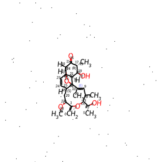 C=C1O[C@H]([C@@H](C)O)[C@H](C)/C=C(\C)[C@@]23O[C@H]4C(=O)[C@H](C)[C@@H](O)[C@@H]2[C@H]4C=C[C@@H]3C[C@@H]1OC